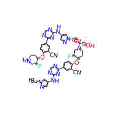 CC(C)(C)n1cc(Nc2ncnc(-c3ccc(O[C@H]4CCNC[C@H]4F)c(C#N)c3)n2)cn1.C[C@H](O)C(=O)N1CC[C@H](Oc2ccc(-c3ncnc(Nc4cnn(C(C)(C)C)c4)n3)cc2C#N)[C@H](F)C1